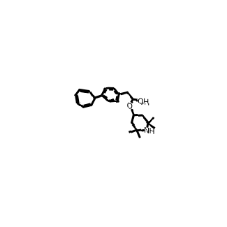 CC1(C)CC(OC(O)Cc2ccc(C3C=CC=CC=C3)cc2)CC(C)(C)N1